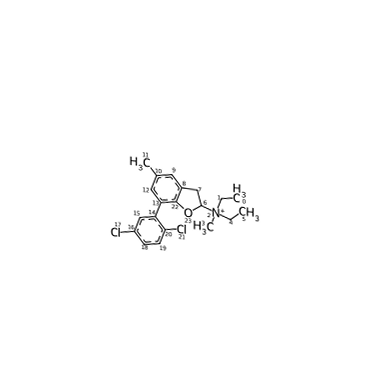 CC[N+](C)(CC)C1Cc2cc(C)cc(-c3cc(Cl)ccc3Cl)c2O1